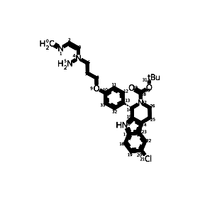 C=N/C=C\N(N)CCCOc1ccc([C@H]2c3[nH]c4ccc(Cl)cc4c3CCN2C(=O)OC(C)(C)C)cc1